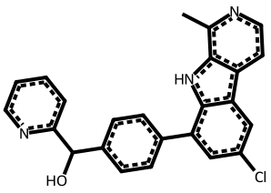 Cc1nccc2c1[nH]c1c(-c3ccc(C(O)c4ccccn4)cc3)cc(Cl)cc12